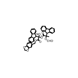 CC(O[C]=O)(C(=O)OC(C(=O)OCc1ccc2c(c1)OCO2)(C1c2ccccc2-c2ccccc21)[N+](=O)[O-])C1c2ccccc2-c2ccccc21